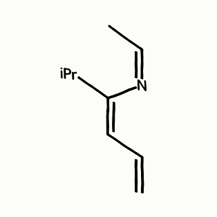 C=C/C=C(\N=C/C)C(C)C